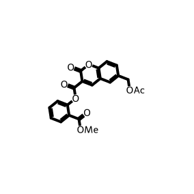 COC(=O)c1ccccc1OC(=O)c1cc2cc(COC(C)=O)ccc2oc1=O